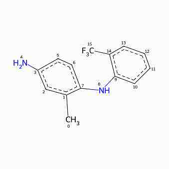 Cc1cc(N)ccc1Nc1ccccc1C(F)(F)F